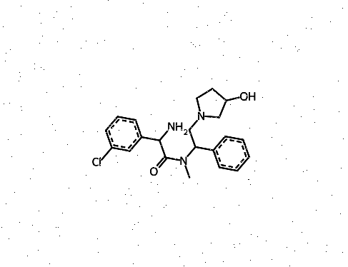 CN(C(=O)C(N)c1cccc(Cl)c1)C(CN1CCC(O)C1)c1ccccc1